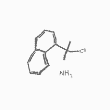 CC(C)(Cl)c1cccc2ccccc12.N